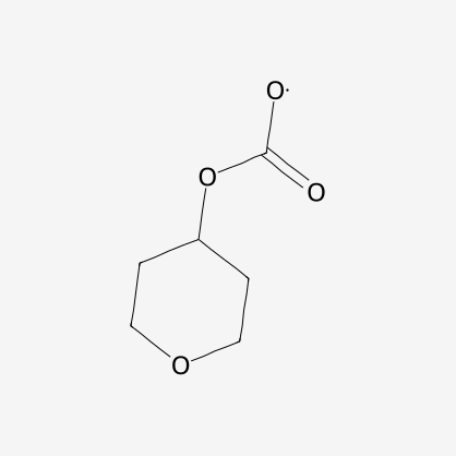 [O]C(=O)OC1CCOCC1